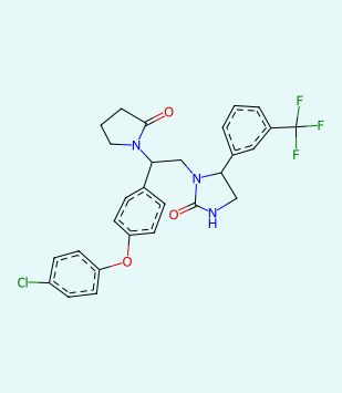 O=C1CCCN1C(CN1C(=O)NCC1c1cccc(C(F)(F)F)c1)c1ccc(Oc2ccc(Cl)cc2)cc1